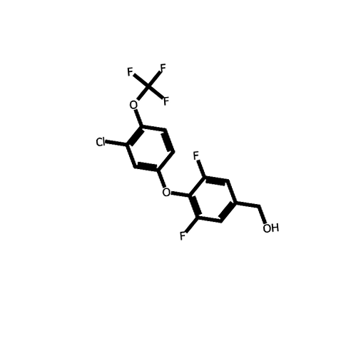 OCc1cc(F)c(Oc2ccc(OC(F)(F)F)c(Cl)c2)c(F)c1